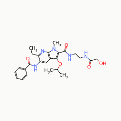 CCc1nc2c(cc1NC(=O)c1ccccc1)c(OC(C)C)c(C(=O)NCCNC(=O)CO)n2C